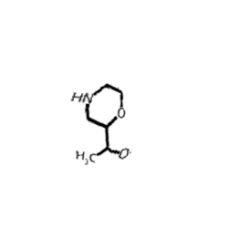 CC([O])C1CNCCO1